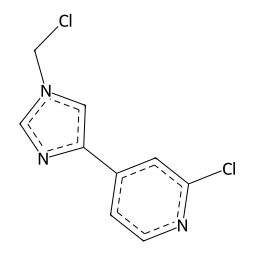 ClCn1cnc(-c2ccnc(Cl)c2)c1